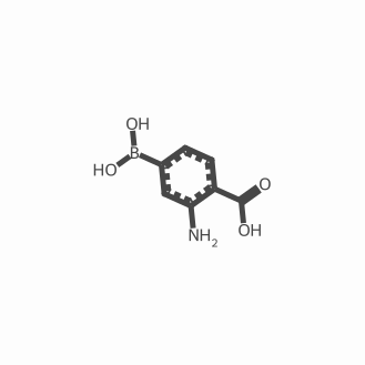 Nc1cc(B(O)O)ccc1C(=O)O